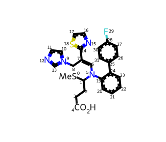 CSC(CCC(=O)O)N(C=C(Cn1ccnc1)c1nccs1)c1ccccc1-c1ccc(F)cc1